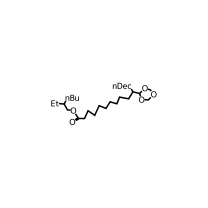 CCCCCCCCCCC(CCCCCCCCCC(=O)OCC(CC)CCCC)C1OCOCO1